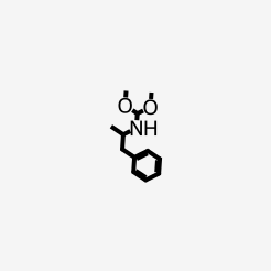 COC(NC(C)Cc1ccccc1)OC